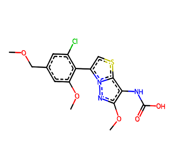 COCc1cc(Cl)c(-c2csc3c(NC(=O)O)c(OC)nn23)c(OC)c1